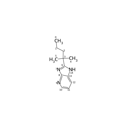 CCCC(C)(C)c1nc2ncccc2[nH]1